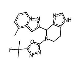 Cc1cccn2nc(C3c4nc[nH]c4CCN3c3nnc(C(C)(C)F)o3)cc12